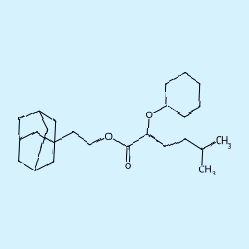 CC(C)CCC(OC1CCCCC1)C(=O)OCCC12CC3CC(CC(C3)C1)C2